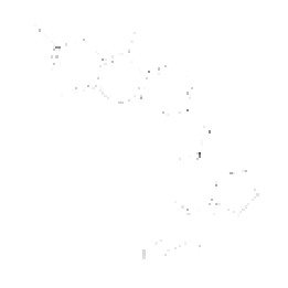 Cc1c(CC(N)=O)c(=O)oc2cc(NC(=O)C3CCCN3C(=O)CN)ccc12